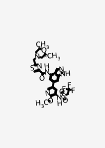 COc1ncc(-c2cc(NC(=O)c3csc(CN4C[C@H](C)O[C@@H](C)C4)n3)c3cn[nH]c3c2)cc1NS(=O)(=O)CC(F)(F)F